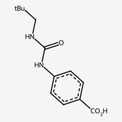 CC(C)(C)CNC(=O)Nc1ccc(C(=O)O)cc1